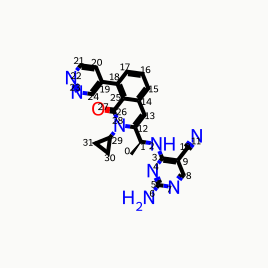 C[C@H](Nc1nc(N)ncc1C#N)c1cc2cccc(-c3ccnnc3)c2c(=O)n1C1CC1